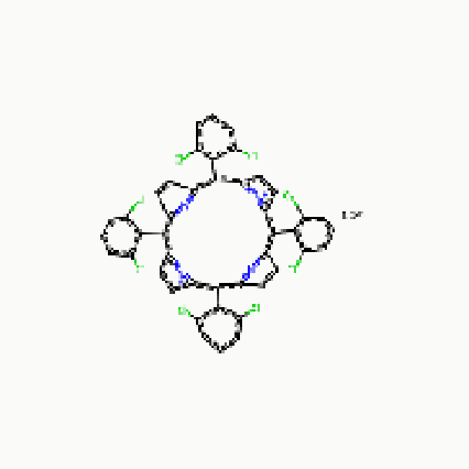 Clc1cccc(Cl)c1-c1c2nc(c(-c3c(Cl)cccc3Cl)c3ccc([nH]3)c(-c3c(Cl)cccc3Cl)c3nc(c(-c4c(Cl)cccc4Cl)c4ccc1[nH]4)C=C3)C=C2.[Co+2]